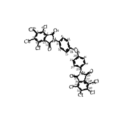 O=C1c2c(Cl)c(Cl)c(Cl)c(Cl)c2C(=O)N1c1ccc(Oc2ccc(N3C(=O)c4c(Cl)c(Cl)c(Cl)c(Cl)c4C3=O)cc2)cc1